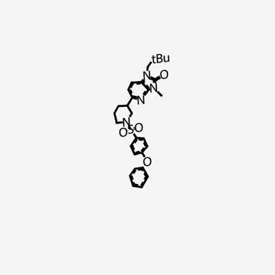 Cn1c(=O)n(CC(C)(C)C)c2ccc(C3CCCN(S(=O)(=O)c4ccc(Oc5ccccc5)cc4)C3)nc21